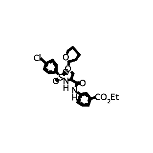 CCOC(=O)c1cccc(NC(=O)C(COC2CCCCO2)NS(=O)(=O)c2ccc(Cl)cc2)c1